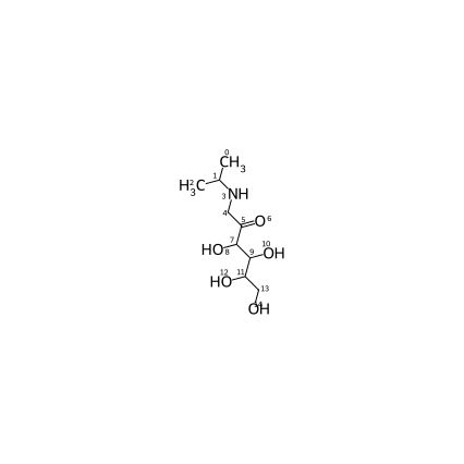 CC(C)NCC(=O)C(O)C(O)C(O)CO